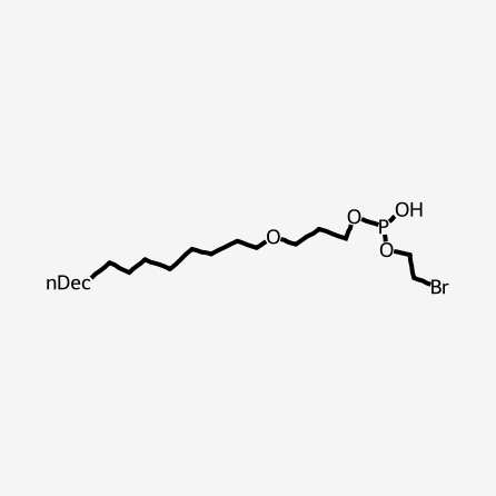 CCCCCCCCCCCCCCCCCCOCCCOP(O)OCCBr